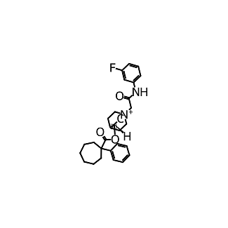 O=C(C[N+]12CCC(CC1)[C@@H](OC(=O)C1(c3ccccc3)CCCCCC1)C2)Nc1cccc(F)c1